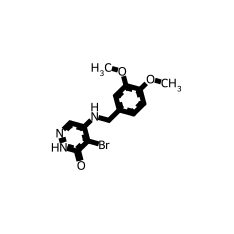 COc1ccc(CNc2cn[nH]c(=O)c2Br)cc1OC